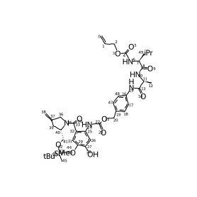 C=CCOC(=O)N[C@H](C(=O)N[C@@H](C)C(=O)Nc1ccc(COC(=O)Nc2cc(O)c(OC)cc2C(=O)N2CC(=C)C[C@H]2CO[Si](C)(C)C(C)(C)C)cc1)C(C)C